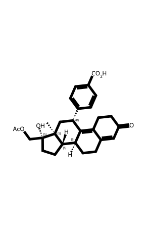 CC(=O)OC[C@]1(O)CC[C@H]2[C@@H]3CCC4=CC(=O)CCC4=C3[C@@H](c3ccc(C(=O)O)cc3)C[C@@]21C